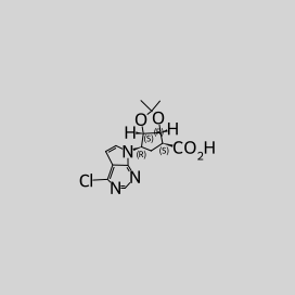 CC1(C)O[C@@H]2[C@H](O1)[C@@H](C(=O)O)C[C@H]2n1ccc2c(Cl)ncnc21